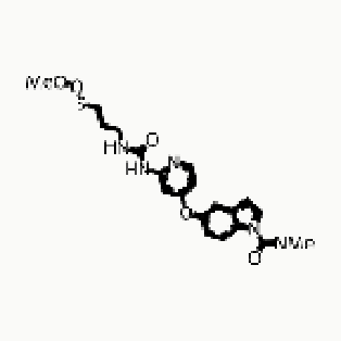 CNC(=O)n1ccc2cc(Oc3ccnc(NC(=O)NCCCSOOC)c3)ccc21